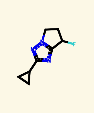 FC1CCn2nc(C3CC3)nc21